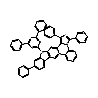 c1ccc(-c2ccc3c4cc5c6ccccc6n6c(-c7ccccc7)nc(-c7ccccc7)c6c5cc4n(-c4nc(-c5ccccc5)nc(-c5ccccc5)n4)c3c2)cc1